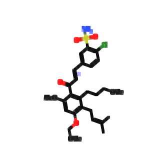 COCCCc1c(CC=C(C)C)c(OCOC)cc(OC)c1C(=O)/C=C/c1ccc(Cl)c(S(N)(=O)=O)c1